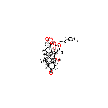 CCCCOC(=O)O[C@]1(C(=O)CO)CC[C@H]2[C@@H]3CCC4=CC(=O)C=C[C@]4(C)[C@H]3C(=O)C[C@@]21C